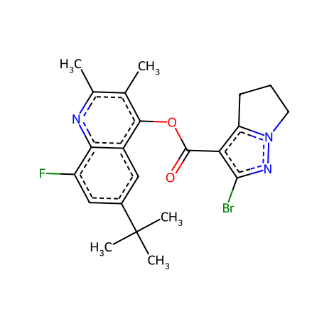 Cc1nc2c(F)cc(C(C)(C)C)cc2c(OC(=O)c2c(Br)nn3c2CCC3)c1C